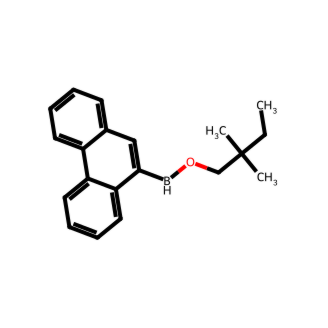 CCC(C)(C)COBc1cc2ccccc2c2ccccc12